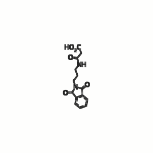 O=C(O)CC(=O)NCCCN1C(=O)c2ccccc2C1=O